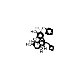 O=C(O)c1ccccc1.Oc1ccc2c3c1O[C@H]1[C@@H](O)CC[C@@]4(O)[C@@H](C2)N(CC2CCC2)CC[C@]314